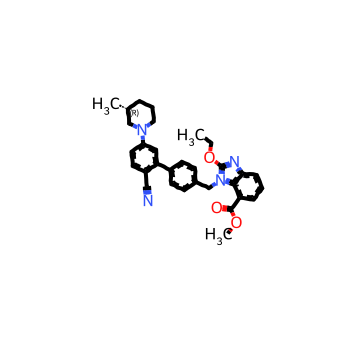 CCOc1nc2cccc(C(=O)OC)c2n1Cc1ccc(-c2cc(N3CCC[C@@H](C)C3)ccc2C#N)cc1